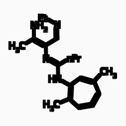 CCC\C(=N/C(/C=N\CC)=C(\C)N)NC1=C(C)C=C=CC(C)=C1